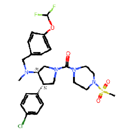 CN(Cc1ccc(OC(F)F)cc1)[C@H]1CN(C(=O)N2CCN(S(C)(=O)=O)CC2)C[C@@H]1c1ccc(Cl)cc1